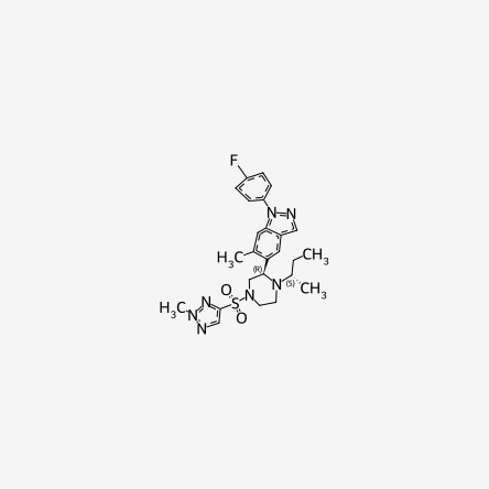 CC[C@H](C)N1CCN(S(=O)(=O)c2cnn(C)n2)C[C@H]1c1cc2cnn(-c3ccc(F)cc3)c2cc1C